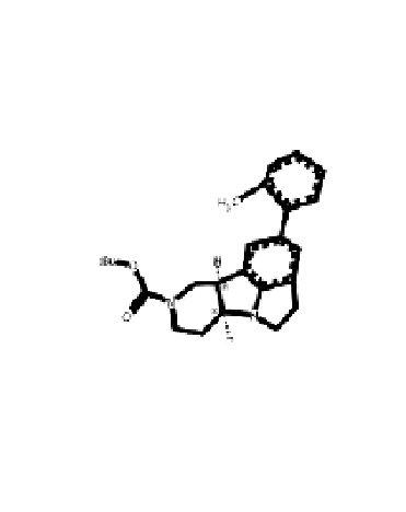 Cc1ccccc1-c1cc2c3c(c1)[C@@H]1CN(C(=O)OC(C)(C)C)CC[C@@H]1N3CC2